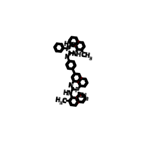 Cc1cccc(C)c1N/C(=N/c1cccc(-c2ccc(/N=C(\Nc3c(C)cccc3C)P(c3ccccc3)c3ccccc3)cc2)c1)P(c1ccccc1)c1ccccc1